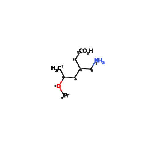 CC(C)OC(C)CC(CN)CC(=O)O